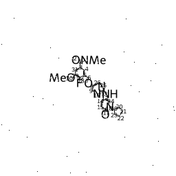 CNC(=O)c1cc(COc2cnc(Nc3ccc(=O)n(C4CCCC4)c3)nc2)c(F)c(OC)c1